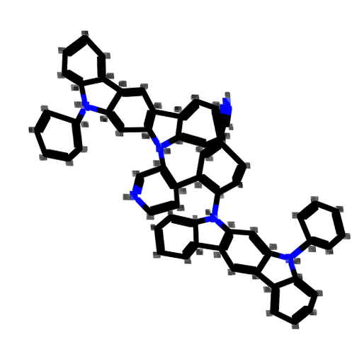 N#Cc1ccc(-n2c3ccccc3c3cc4c5ccccc5n(-c5ccccc5)c4cc32)c(-c2ccncc2-n2c3ccccc3c3cc4c5ccccc5n(-c5ccccc5)c4cc32)c1